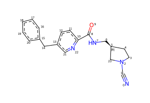 N#CN1CC[C@H](CNC(=O)c2ccc(Cc3ccccc3)cn2)C1